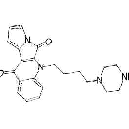 O=C1c2c(c(=O)c3ccccc3n2CCCCN2CCNCC2)-c2cccn21